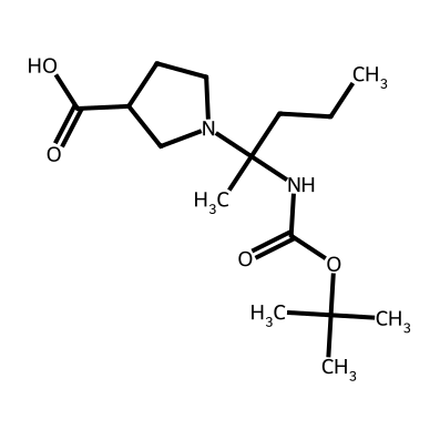 CCCC(C)(NC(=O)OC(C)(C)C)N1CCC(C(=O)O)C1